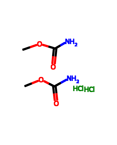 COC(N)=O.COC(N)=O.Cl.Cl